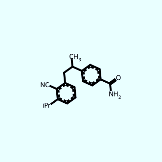 CC(C)c1cccc(CC(C)c2ccc(C(N)=O)cc2)c1C#N